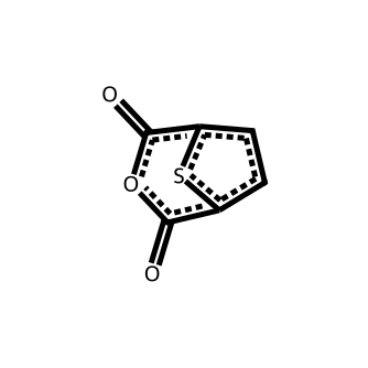 O=c1oc(=O)c2ccc1s2